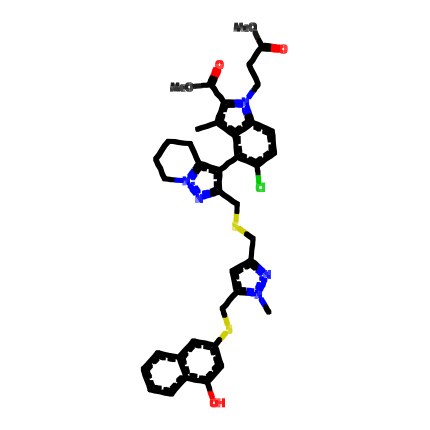 COC(=O)CCn1c(C(=O)OC)c(C)c2c(-c3c(CSCc4cc(CSc5cc(O)c6ccccc6c5)n(C)n4)nn4c3CCCC4)c(Cl)ccc21